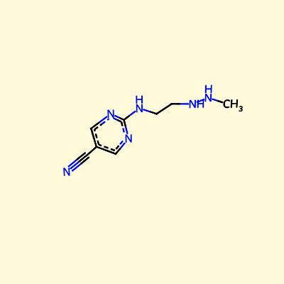 CNNCCNc1ncc(C#N)cn1